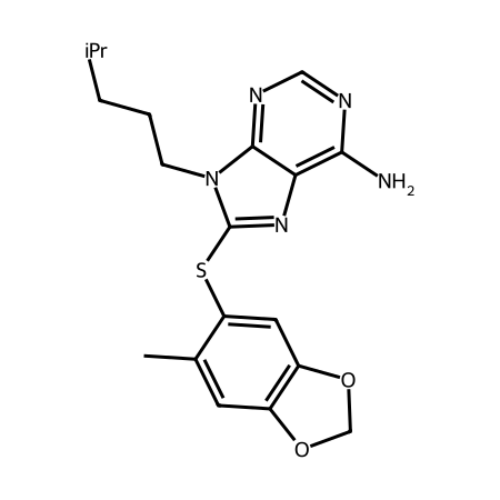 Cc1cc2c(cc1Sc1nc3c(N)ncnc3n1CCCC(C)C)OCO2